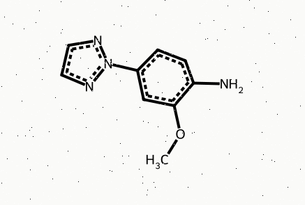 COc1cc(-n2nccn2)ccc1N